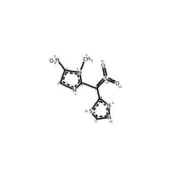 Cn1c([N+](=O)[O-])cnc1C(c1nncs1)=S(=O)=O